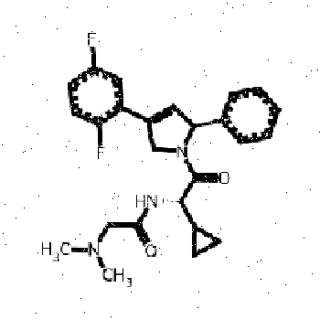 CN(C)CC(=O)N[C@H](C(=O)N1CC(c2cc(F)ccc2F)=C[C@H]1c1ccccc1)C1CC1